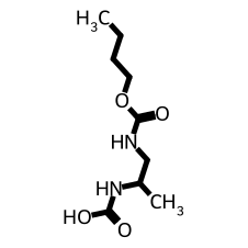 CCCCOC(=O)NCC(C)NC(=O)O